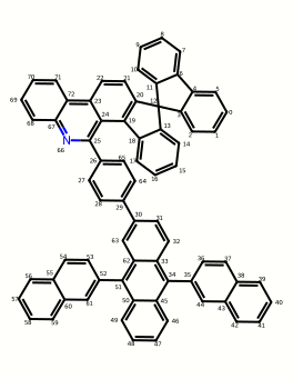 c1ccc2c(c1)-c1ccccc1C21c2ccccc2-c2c1ccc1c2c(-c2ccc(-c3ccc4c(-c5ccc6ccccc6c5)c5ccccc5c(-c5ccc6ccccc6c5)c4c3)cc2)nc2ccccc21